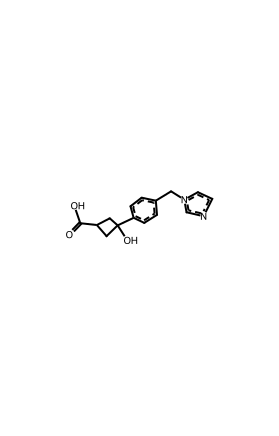 O=C(O)C1CC(O)(c2ccc(Cn3ccnc3)cc2)C1